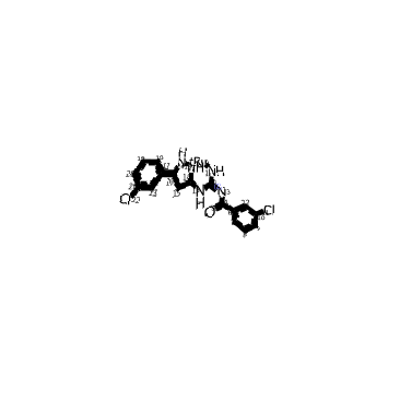 CC(C)(C)N/C(=N/C(=O)c1cccc(Cl)c1)NC1CC(c2cccc(Cl)c2)NN1